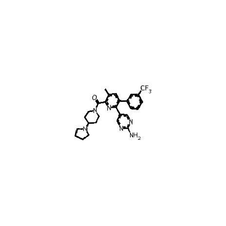 Cc1cc(-c2cccc(C(F)(F)F)c2)c(-c2cnc(N)nc2)nc1C(=O)N1CCC(N2CCCC2)CC1